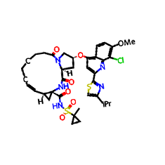 COc1ccc2c(O[C@@H]3C[C@H]4C(=O)N[C@]5(C(=O)NS(=O)(=O)C6(C)CC6)C[C@H]5/C=C\CCCCCC(=O)N4C3)cc(-c3nc(C(C)C)cs3)nc2c1Cl